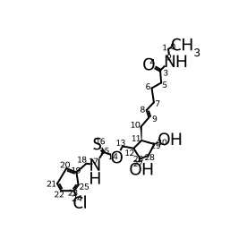 CCNC(=O)CCCC=CC[C@@H]1C(COC(=S)NCc2cccc(Cl)c2)[C@H](O)C[C@@H]1O